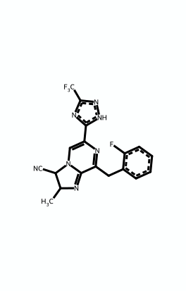 CC1N=C2C(Cc3ccccc3F)=NC(c3nc(C(F)(F)F)n[nH]3)=CN2C1C#N